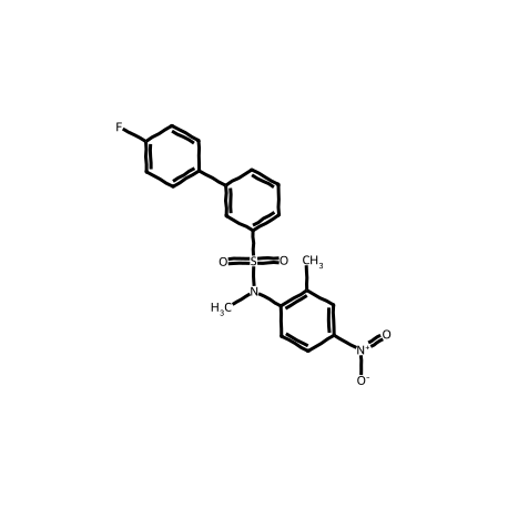 Cc1cc([N+](=O)[O-])ccc1N(C)S(=O)(=O)c1cccc(-c2ccc(F)cc2)c1